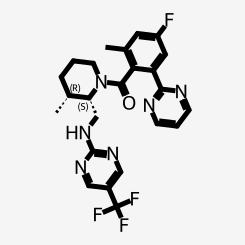 Cc1cc(F)cc(-c2ncccn2)c1C(=O)N1CCC[C@@H](C)[C@H]1CNc1ncc(C(F)(F)F)cn1